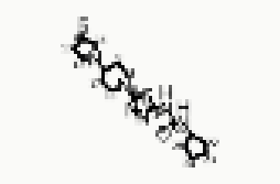 O=C(Nc1nnc(N2CCC(N3CC[C@@H](F)C3)CC2)s1)NC1CCCC1